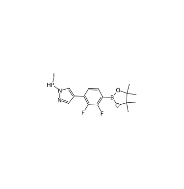 CC1(C)OB(c2ccc(-c3cnn(PI)c3)c(F)c2F)OC1(C)C